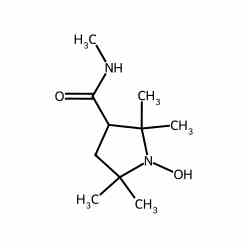 CNC(=O)C1CC(C)(C)N(O)C1(C)C